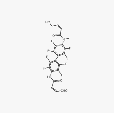 CN(C(=O)/C=C\CO)c1c(F)c(F)c(-c2c(F)c(F)c(NC(=O)/C=C\C=O)c(F)c2F)c(F)c1F